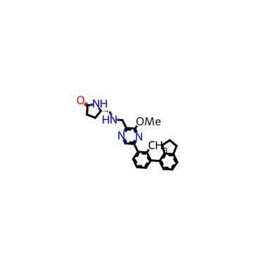 COc1nc(-c2cccc(-c3cccc4c3CCC4)c2C)cnc1CNC[C@@H]1CCC(=O)N1